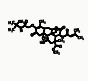 COC(=O)C1(C)CC(O)C2C3(C)CC(=O)C(OCC(=O)NC(C)(C)C)=C(C)C3CC3OC(=O)C(OC(=O)C=C(C)C)C1C32CO